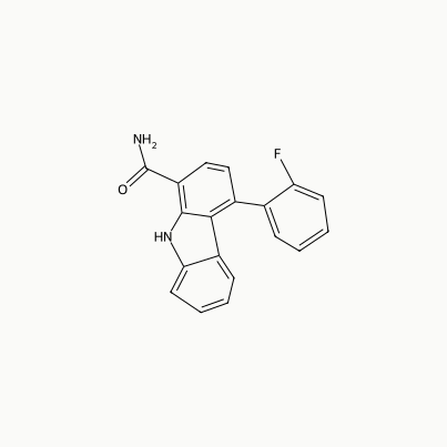 NC(=O)c1ccc(-c2ccccc2F)c2c1[nH]c1ccccc12